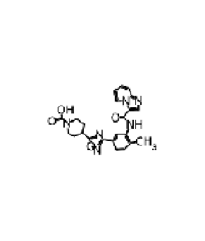 Cc1ccc(-c2noc(C3CCN(C(=O)O)CC3)n2)cc1NC(=O)c1cnc2ccccn12